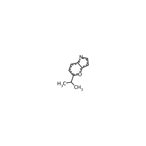 CC(C)c1ccc2nccc-2o1